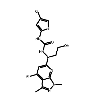 Cc1nn(C)c2nc(N(CCO)NC(=O)Nc3cc(Cl)cs3)cc(C(C)C)c12